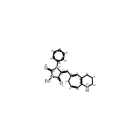 CCN1C(=O)/C(=C\C2=CC3=C(C=CC2)NCCC3)N(c2ccccc2)C1=O